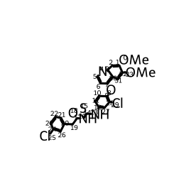 COc1cc2nccc(Oc3ccc(NC(=S)NC(=O)Cc4cccc(Cl)c4)cc3Cl)c2cc1OC